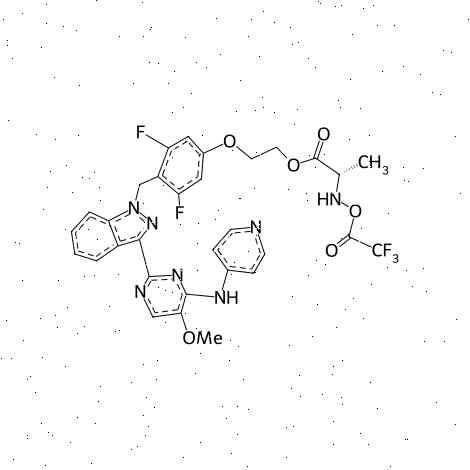 COc1cnc(-c2nn(Cc3c(F)cc(OCCOC(=O)[C@H](C)NOC(=O)C(F)(F)F)cc3F)c3ccccc23)nc1Nc1ccncc1